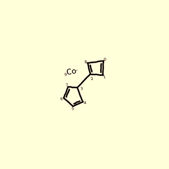 C1=CC(C2C=CC=C2)=C1.[Co]